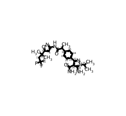 CC(C(=O)Nc1cc(C(C)(C)CC(F)(F)F)on1)c1ccc(-c2nn(C(C)C)c(N)c2C(N)=O)cc1